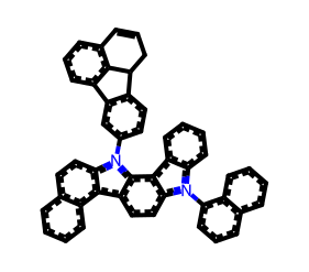 C1=Cc2cccc3c2C(C1)c1ccc(-n2c4ccc5ccccc5c4c4ccc5c(c6ccccc6n5-c5cccc6ccccc56)c42)cc1-3